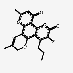 CCCc1c(F)c(=O)oc2c1c1c(c3oc(C)cc(=O)c32)[C]=C(C)CO1